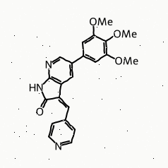 COc1cc(-c2cnc3c(c2)/C(=C/c2ccncc2)C(=O)N3)cc(OC)c1OC